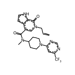 C=CCn1cc(C(=O)N(C)C2CCN(c3cc(C(F)(F)F)ncn3)CC2)c2cc[nH]c2c1=O